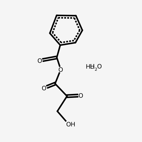 O.O=C(CO)C(=O)OC(=O)c1ccccc1.[LiH]